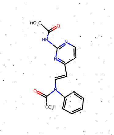 O=C(O)C(=O)Nc1nccc(C=CN(C(=O)C(=O)O)c2ccccc2)n1